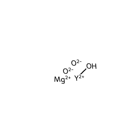 [Mg+2].[O-2].[O-2].[OH][Y+2]